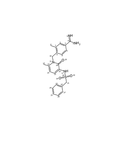 Cc1cc(C(=N)N)ccc1Cn1c(C)ccc(NS(=O)(=O)Cc2ccccc2)c1=O